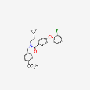 O=C(O)c1ccc(CN(CCC2CC2)C(=O)c2ccc(Oc3ccccc3F)cc2)cc1